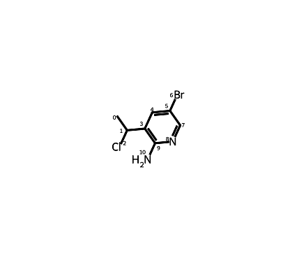 CC(Cl)c1cc(Br)cnc1N